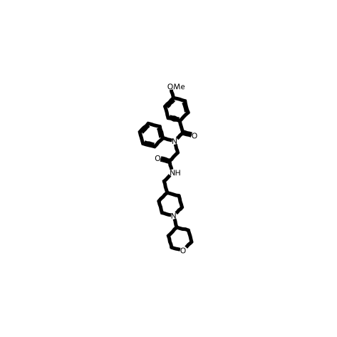 COc1ccc(C(=O)N(CC(=O)NCC2CCN(C3CCOCC3)CC2)c2ccccc2)cc1